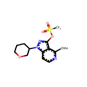 COc1nccc2c1c(OS(=O)(=O)C(F)(F)F)nn2C1CCCOC1